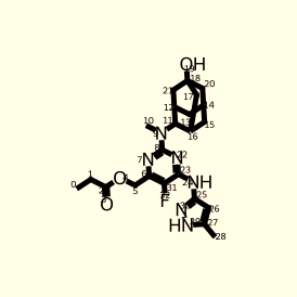 CCC(=O)OCc1nc(N(C)C2C3CC4CC2CC(O)(C4)C3)nc(Nc2cc(C)[nH]n2)c1F